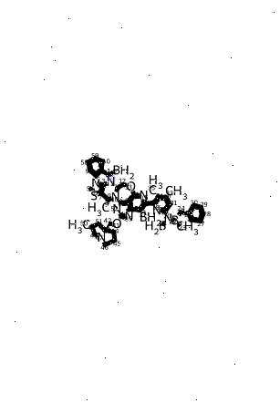 B/C(=N/c1ncsc1C(C)N1CCOc2nc(-c3nc(N(B)B(C)Cc4ccccc4)cc(C)c3C)c(B)c3nc(OC[C@@]45CCCN4CC(C)C5)nc1c23)c1ccccc1